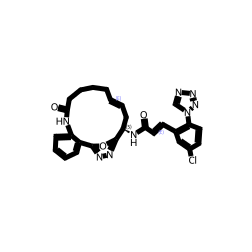 O=C(/C=C/c1cc(Cl)ccc1-n1cnnn1)N[C@H]1C/C=C/CCCCC(=O)Nc2ccccc2-c2nnc1o2